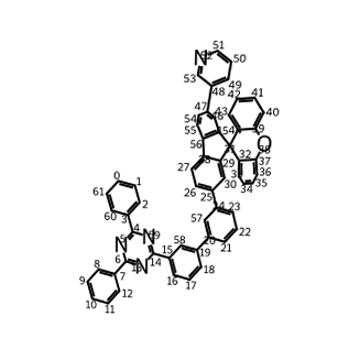 c1ccc(-c2nc(-c3ccccc3)nc(-c3cccc(-c4cccc(-c5ccc6c(c5)C5(c7ccccc7Oc7ccccc75)c5cc(-c7cccnc7)ccc5-6)c4)c3)n2)cc1